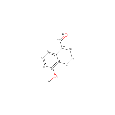 COc1cccc2c1CCCC2C=O